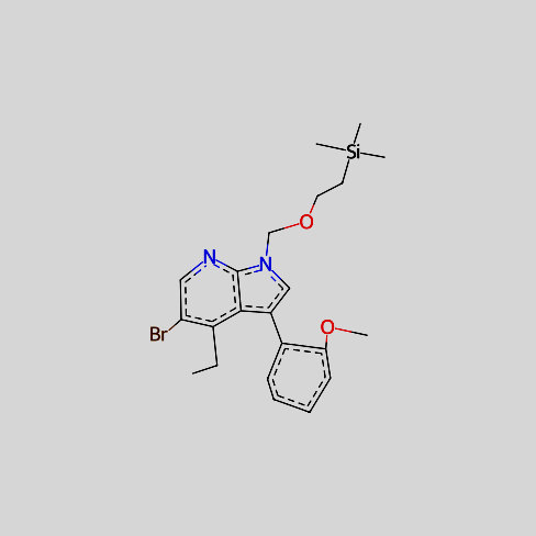 CCc1c(Br)cnc2c1c(-c1ccccc1OC)cn2COCC[Si](C)(C)C